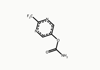 NC(=O)Oc1cnc(C(F)(F)F)nc1